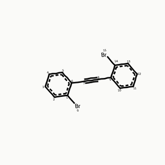 Brc1ccccc1C#Cc1ccccc1Br